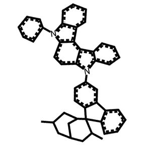 CC1CC2CC(C)C3(c4ccccc4-c4cc(-n5c6ccccc6c6c7c8ccccc8n(-c8ccccc8)c7ccc65)ccc43)C(C1)C2